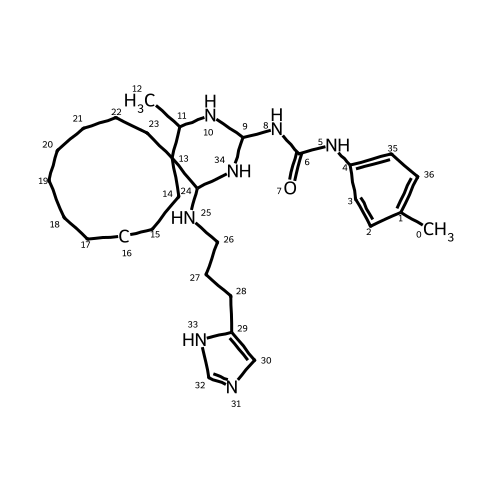 Cc1ccc(NC(=O)NC2NC(C)C3(CCCCCCCCCC3)C(NCCCc3cnc[nH]3)N2)cc1